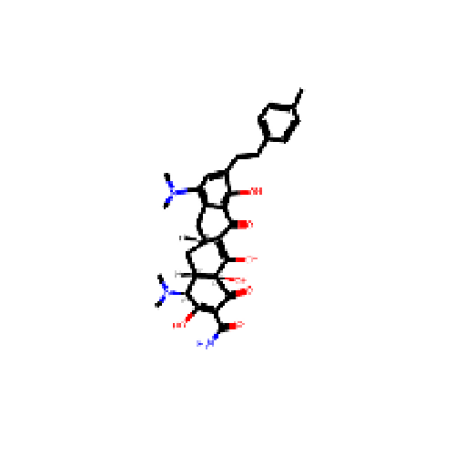 Cc1ccc(CCc2cc(N(C)C)c3c(c2O)C(=O)C2=C(O)[C@]4(O)C(=O)C(C(N)=O)=C(O)[C@@H](N(C)C)[C@@H]4C[C@@H]2C3)cc1